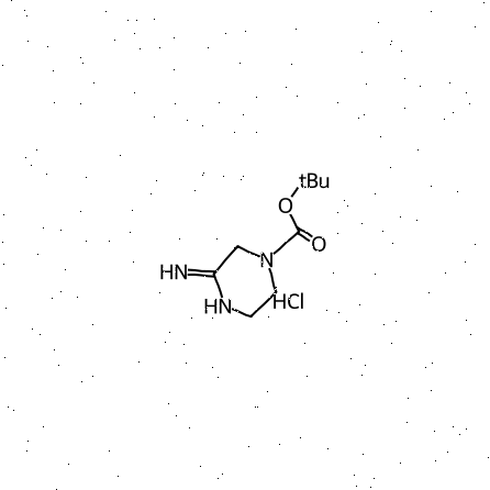 CC(C)(C)OC(=O)N1CCNC(=N)C1.Cl